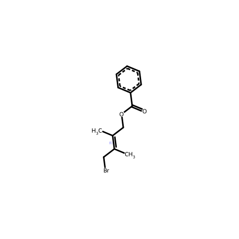 C/C(CBr)=C(/C)COC(=O)c1ccccc1